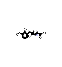 Cc1c(CC(C)(C)/C=C/C(=O)O)cccc1N=O